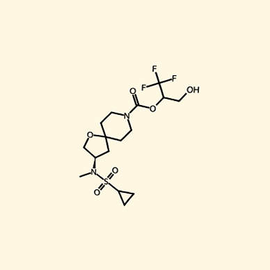 CN([C@H]1COC2(CCN(C(=O)OC(CO)C(F)(F)F)CC2)C1)S(=O)(=O)C1CC1